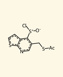 CC(=O)SCc1cnc2sccc2c1[S+]([O-])Cl